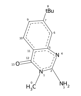 Cn1c(N)nc2cc(C(C)(C)C)ccc2c1=O